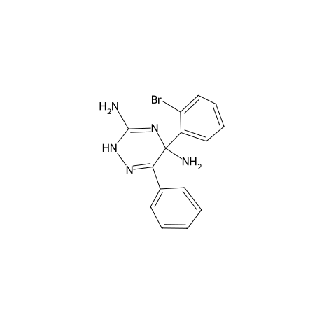 NC1=NC(N)(c2ccccc2Br)C(c2ccccc2)=NN1